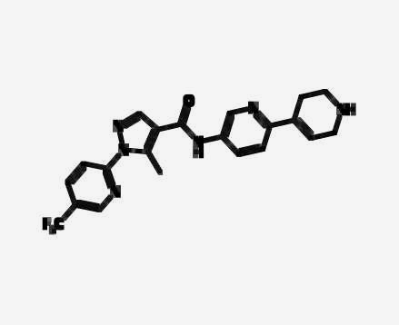 Cc1c(C(=O)Nc2ccc(C3=CCNCC3)nc2)cnn1-c1ccc(C(F)(F)F)cn1